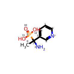 CC(N)(c1cccnc1)P(=O)(O)O